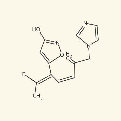 C=C(/C=C\C(=C(/C)F)c1cc(O)no1)Cn1ccnc1